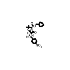 CC1(C)S[C@H]2N(C(=O)[C@@]2(CO)N=Cc2ccc([N+](=O)[O-])cc2)[C@H]1C(=O)OCc1ccccc1